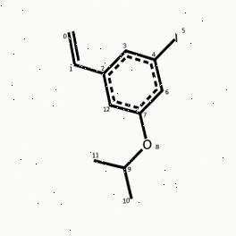 C=[C]c1cc(I)cc(OC(C)C)c1